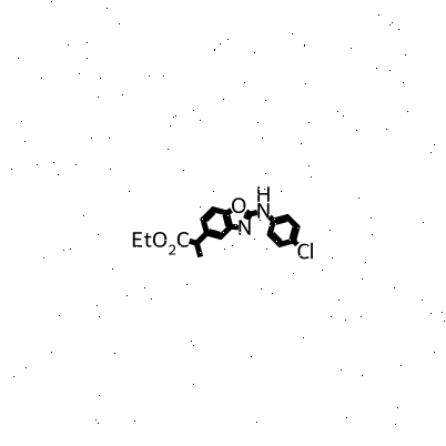 CCOC(=O)C(C)c1ccc2oc(Nc3ccc(Cl)cc3)nc2c1